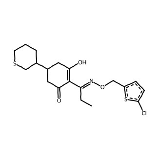 CCC(=NOCc1ccc(Cl)s1)C1=C(O)CC(C2CCCSC2)CC1=O